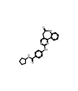 O=C1Cc2cnc(Nc3ccc(C(=O)NC4CCCC4)cc3)nc2-c2ccccc2N1